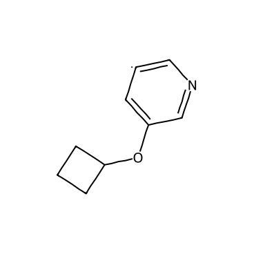 [c]1cncc(OC2CCC2)c1